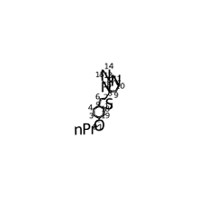 CCCOc1ccc2cc(-c3ccnc(N(C)C)n3)sc2c1